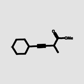 COC(=O)C(C)C#CC1CC[CH]CC1